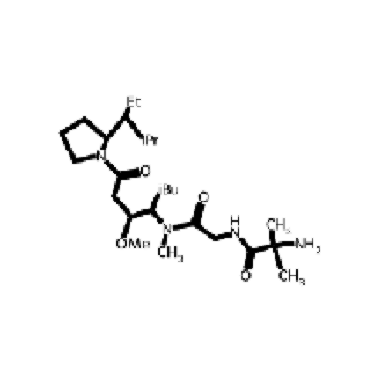 CCC(C)C(C(CC(=O)N1CCCC1C(CC)C(C)C)OC)N(C)C(=O)CNC(=O)C(C)(C)N